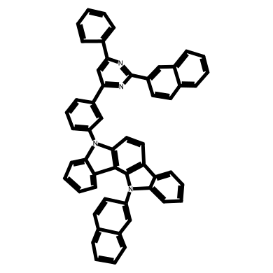 c1ccc(-c2cc(-c3cccc(-n4c5ccccc5c5c4ccc4c6ccccc6n(-c6ccc7ccccc7c6)c45)c3)nc(-c3ccc4ccccc4c3)n2)cc1